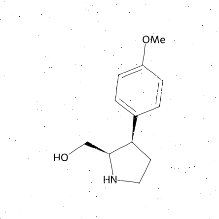 COc1ccc([C@H]2CCN[C@H]2CO)cc1